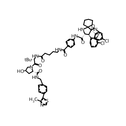 Cc1ncsc1-c1ccc(CNC(=O)[C@@H]2C[C@@H](O)CN2C(=O)[C@@H](NC(=O)CCCCNC(=O)c2ccc(NC(=O)[C@@H]3NC4(CCCCC4)[C@@]4(C(=O)Nc5cc(Cl)ccc54)[C@H]3c3cccc(Cl)c3F)cc2)C(C)(C)C)cc1